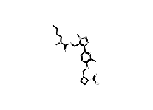 CCCCN(C)C(=O)OCc1c(-c2ccc(OC[C@@H]3CC[C@H]3C(=O)O)c(C)n2)nnn1C